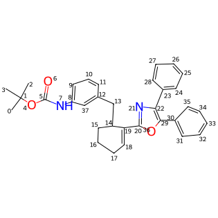 CC(C)(C)OC(=O)Nc1cccc(CC2CCCC=C2c2nc(-c3ccccc3)c(-c3ccccc3)o2)c1